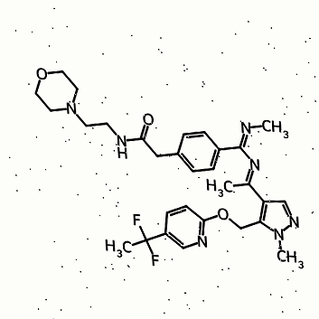 C/N=C(\N=C(/C)c1cnn(C)c1COc1ccc(C(C)(F)F)cn1)c1ccc(CC(=O)NCCN2CCOCC2)cc1